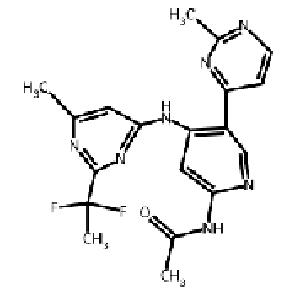 CC(=O)Nc1cc(Nc2cc(C)nc(C(C)(F)F)n2)c(-c2ccnc(C)n2)cn1